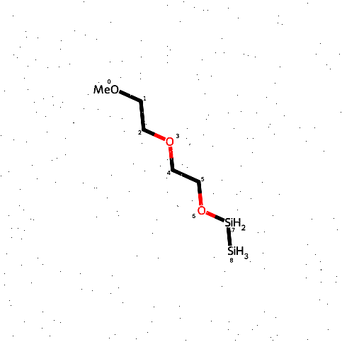 COCCOCCO[SiH2][SiH3]